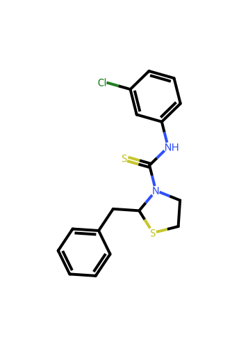 S=C(Nc1cccc(Cl)c1)N1CCSC1Cc1ccccc1